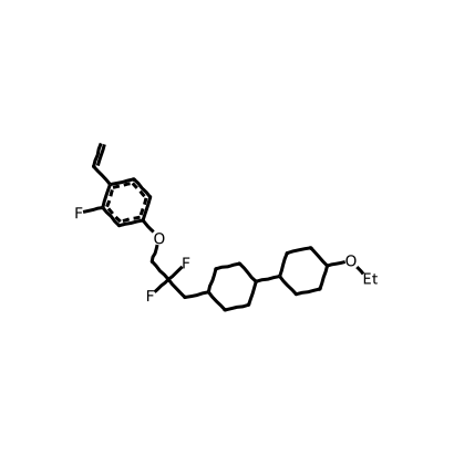 C=Cc1ccc(OCC(F)(F)CC2CCC(C3CCC(OCC)CC3)CC2)cc1F